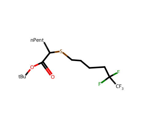 CCCCCC(SCCCCC(F)(F)C(F)(F)F)C(=O)OC(C)(C)C